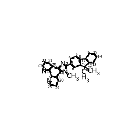 Cn1c(-c2ccc3c(c2)C(C)(C)c2ccccc2-3)nc2c3cccnc3c3ncccc3c21